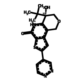 CC(C)(C)[C@@]1(O)COCc2c1[nH]c(=O)c1sc(-c3ccnnc3)cc21